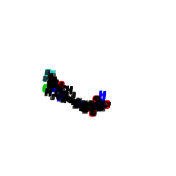 CC(C)(C(=O)Nc1ccc(C(F)(F)F)cc1Cl)n1cc(C#CC2CN(c3ccc4c(c3)CN(C3CCC(=O)NC3=O)C4=O)C2)cn1